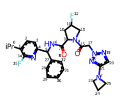 CC(C)c1ccc(C(NC(=O)C2CC(F)CN2C(=O)Cn2ncc(N3CCC3)n2)c2ccccc2)nc1F